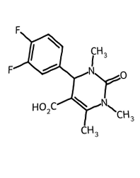 CC1=C(C(=O)O)C(c2ccc(F)c(F)c2)N(C)C(=O)N1C